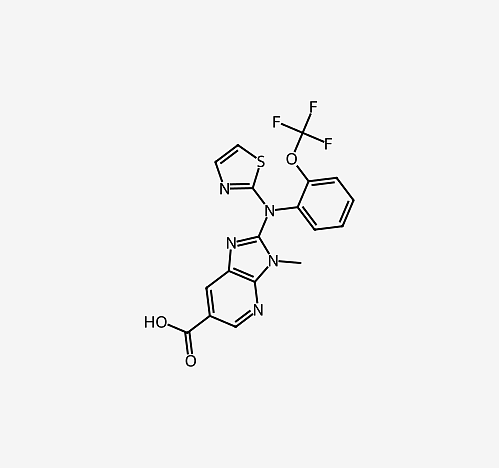 Cn1c(N(c2nccs2)c2ccccc2OC(F)(F)F)nc2cc(C(=O)O)cnc21